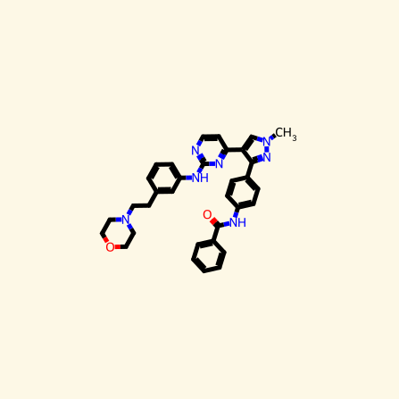 Cn1cc(-c2ccnc(Nc3cccc(CCN4CCOCC4)c3)n2)c(-c2ccc(NC(=O)c3ccccc3)cc2)n1